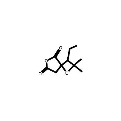 CCC1C(C)(C)OC12CC(=O)OC2=O